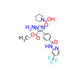 CCOC(=O)c1c(-c2ccc(C(=O)Nc3cc(C(F)(F)F)ccn3)cc2)nc([C@@H]2CCCCN2C(=O)O)n1N